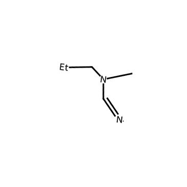 CCCN(C)C=[N]